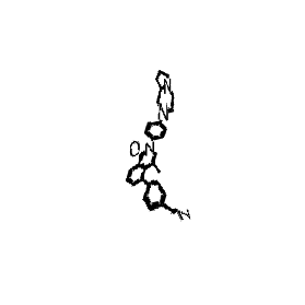 Cc1cn(-c2ccc(N3CCN4CCCC4C3)cc2)c(=O)c2cccc(-c3ccc(C#N)cc3)c12